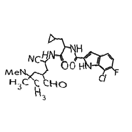 CNC(C)(C)CC(C=O)CC(C#N)NC(=O)C(CC1CC1)NC(=O)c1cc2ccc(F)c(Cl)c2[nH]1